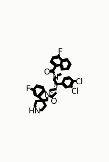 CC(=O)[N+]1(CC[C@H](CN(C)C(=O)c2ccc(F)c3ccccc23)c2ccc(Cl)c(Cl)c2)CC2(CCNCC2)c2cc(F)ccc21